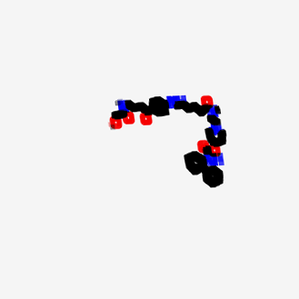 COCC(=O)N(C)CCCC(=O)c1ccc(NCCCCCC(=O)N(C)CCN2CCC(OC(=O)Nc3ccccc3-c3ccccc3)CC2)cc1